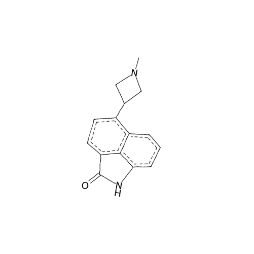 CN1CC(c2ccc3c4c(cccc24)NC3=O)C1